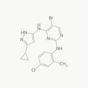 Cc1cc(Cl)ccc1Nc1ncc(Br)c(Nc2cc(C3CC3)n[nH]2)n1